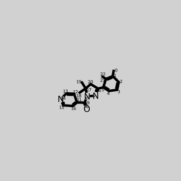 Cc1cccc(C2=NN(C(=O)c3ccncc3)C(C)(C)C2)c1C